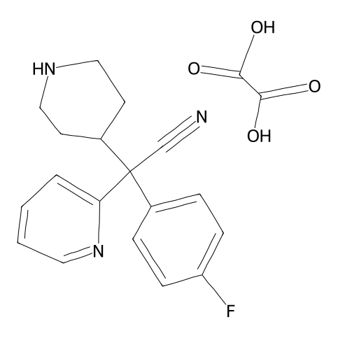 N#CC(c1ccc(F)cc1)(c1ccccn1)C1CCNCC1.O=C(O)C(=O)O